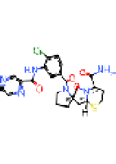 NC(=O)[C@H]1CCS[C@@H]2C[C@]3(CCCN3C(=O)c3ccc(Cl)c(NC(=O)c4cnccn4)c3)C(=O)N12